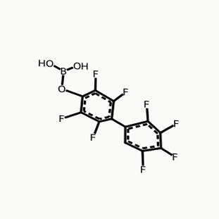 OB(O)Oc1c(F)c(F)c(-c2cc(F)c(F)c(F)c2F)c(F)c1F